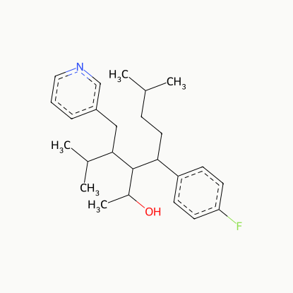 CC(C)CCC(c1ccc(F)cc1)C(C(C)O)C(Cc1cccnc1)C(C)C